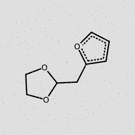 c1coc(CC2OCCO2)c1